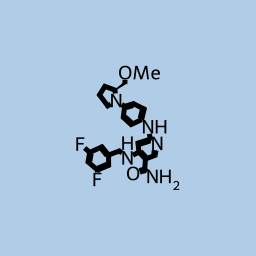 COC[C@@H]1CCCN1c1ccc(Nc2cc(NCc3cc(F)cc(F)c3)c(C(N)=O)cn2)cc1